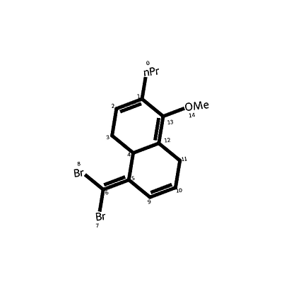 CCCC1=CCC2C(=C(Br)Br)C=CCC2=C1OC